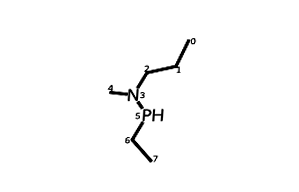 CCCN(C)PCC